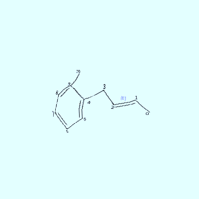 C/C=C/Cc1ccccc1C